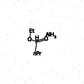 CCC[PH](=O)OCC.[AlH3]